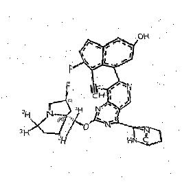 [2H]C1([2H])CC[C@]2(C([2H])([2H])Oc3nc(N4CC5CCC4CN5)c4cnc(-c5cc(O)cc6ccc(F)c(C#C)c56)c(F)c4n3)C[C@H](F)CN12